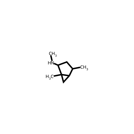 CNC1CC(C)C2CC12C